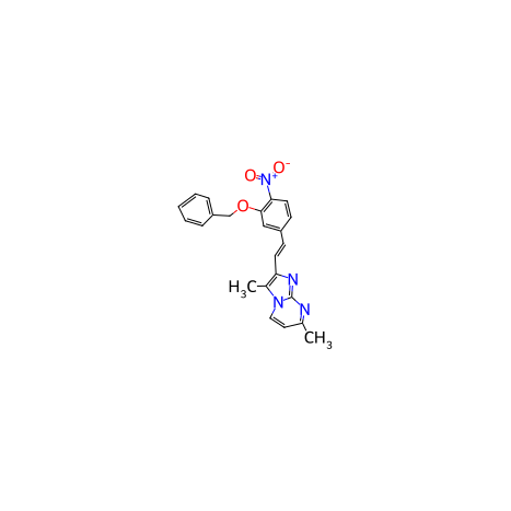 Cc1ccn2c(C)c(C=Cc3ccc([N+](=O)[O-])c(OCc4ccccc4)c3)nc2n1